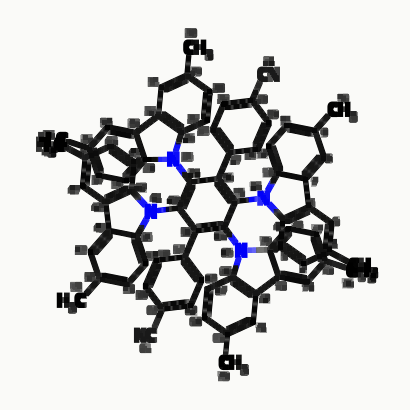 Cc1ccc2c(c1)c1cc(C)ccc1n2-c1c(-c2ccc(C#N)cc2)c(-n2c3ccc(C)cc3c3cc(C)ccc32)c(-n2c3ccc(C)cc3c3cc(C)ccc32)c(-c2ccc(C#N)cc2)c1-n1c2ccc(C)cc2c2cc(C)ccc21